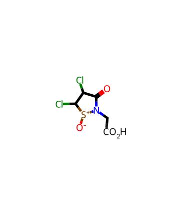 O=C(O)CN1C(=O)C(Cl)C(Cl)[S+]1[O-]